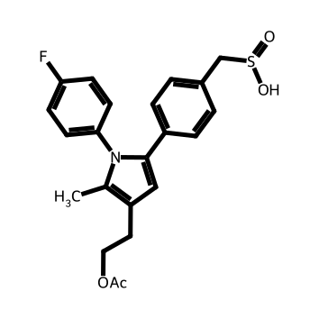 CC(=O)OCCc1cc(-c2ccc(CS(=O)O)cc2)n(-c2ccc(F)cc2)c1C